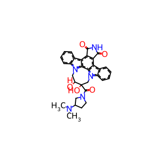 CN(C)C1CCN(C(=O)C2(O)Cn3c4ccccc4c4c5c(c6c7ccccc7n(c6c43)CC2O)C(=O)NC5=O)C1